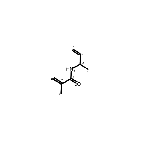 C=CC(C)NC(=O)C(=C)C